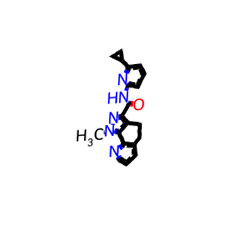 Cn1nc(C(=O)Nc2cccc(C3CC3)n2)c2c1-c1ncccc1CC2